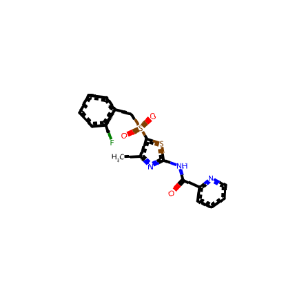 Cc1nc(NC(=O)c2ccccn2)sc1S(=O)(=O)Cc1ccccc1F